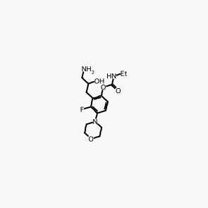 CCNC(=O)Oc1ccc(N2CCOCC2)c(F)c1CC(O)CN